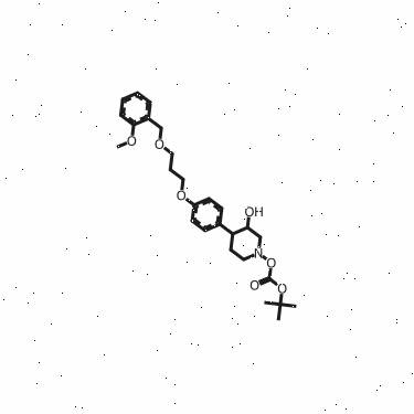 COc1ccccc1COCCCOc1ccc(C2CCN(OC(=O)OC(C)(C)C)CC2O)cc1